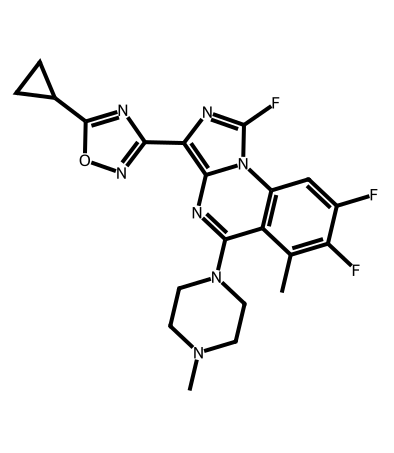 Cc1c(F)c(F)cc2c1c(N1CCN(C)CC1)nc1c(-c3noc(C4CC4)n3)nc(F)n12